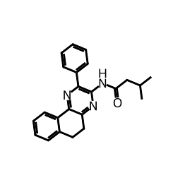 CC(C)CC(=O)Nc1nc2c(nc1-c1ccccc1)-c1ccccc1CC2